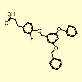 O=C(O)CCc1ccc(OCc2cc(OCc3ccccc3)cc(Oc3ccccc3)c2)c(F)c1